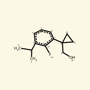 CC(C)c1cccc(C2(CO)CC2)c1F